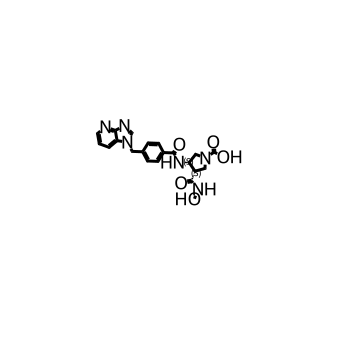 O=C(N[C@@H]1CN(C(=O)O)C[C@@H]1C(=O)NO)c1ccc(Cn2cnc3ncccc32)cc1